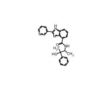 CC(NC(=O)c1cccc2[nH]c(-c3cccnc3)nc12)C(C)(O)c1ccccc1